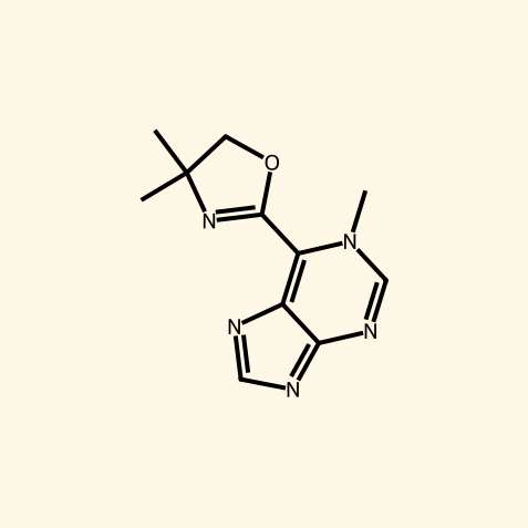 Cn1cnc2ncnc-2c1C1=NC(C)(C)CO1